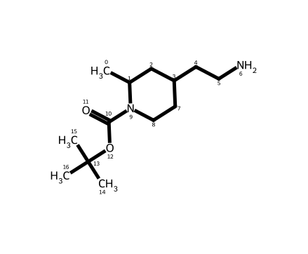 CC1CC(CCN)CCN1C(=O)OC(C)(C)C